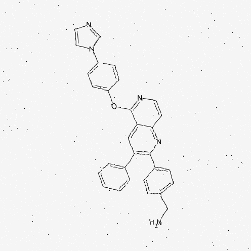 NCc1ccc(-c2nc3ccnc(Oc4ccc(-n5ccnc5)cc4)c3cc2-c2ccccc2)cc1